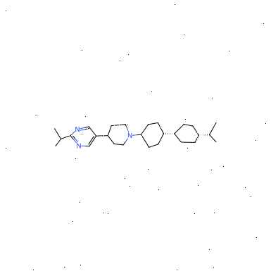 CC(C)c1ncc(C2CCN(C3CCC([C@H]4CC[C@@H](C(C)C)CC4)CC3)CC2)cn1